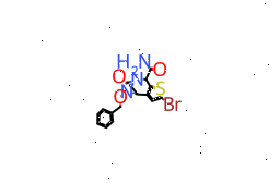 NC(=O)C1c2sc(Br)cc2C2CN1C(=O)N2OCc1ccccc1